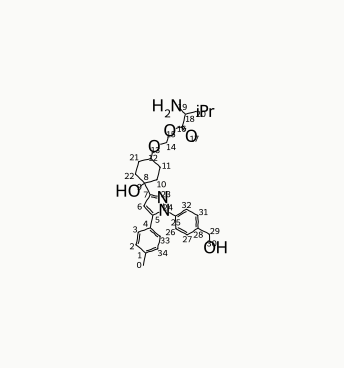 Cc1ccc(-c2cc(C3(O)CCC(OCOC(=O)C(N)C(C)C)CC3)nn2-c2ccc(CO)cc2)cc1